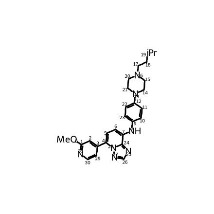 COc1cc(-c2ccc(Nc3ccc(N4CCN(CCC(C)C)CC4)cc3)c3ncnn23)ccn1